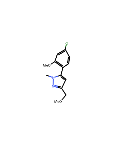 COCc1cc(-c2ccc(Cl)cc2OC)n(C)n1